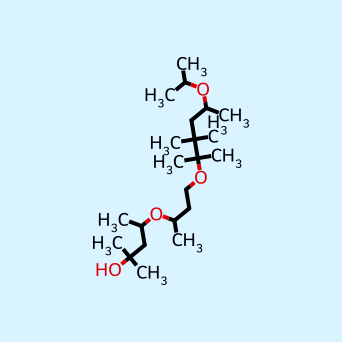 CC(C)OC(C)CC(C)(C)C(C)(C)OCCC(C)OC(C)CC(C)(C)O